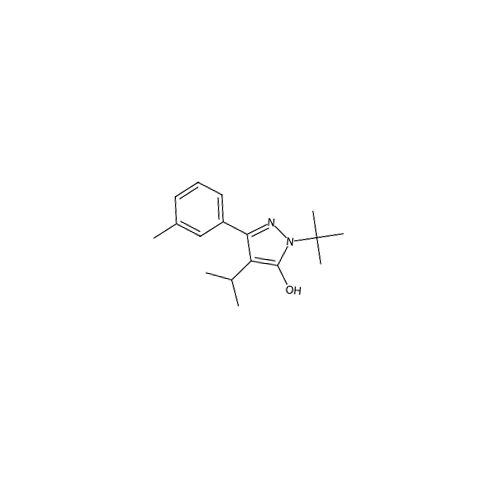 Cc1cccc(-c2nn(C(C)(C)C)c(O)c2C(C)C)c1